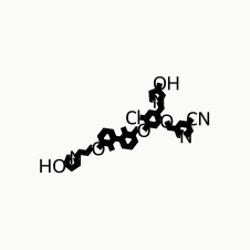 Cc1c(COc2cc(OCc3cncc(C#N)c3)c(CN3CCC(O)C3)cc2Cl)cccc1-c1cccc(OCCCN2CCC(O)C2)c1C